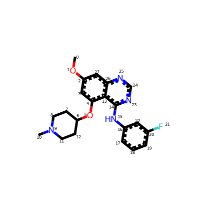 COc1cc(OC2CCN(C)CC2)c2c(Nc3cccc(F)c3)ncnc2c1